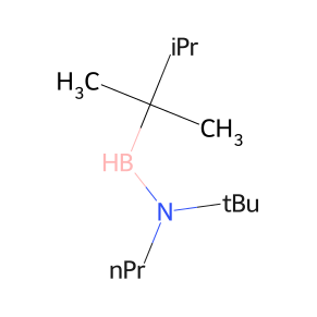 CCCN(BC(C)(C)C(C)C)C(C)(C)C